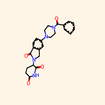 O=C1CCC(N2Cc3cc(N4CCN(C(=O)c5ccccc5)CC4)ccc3C2=O)C(=O)N1